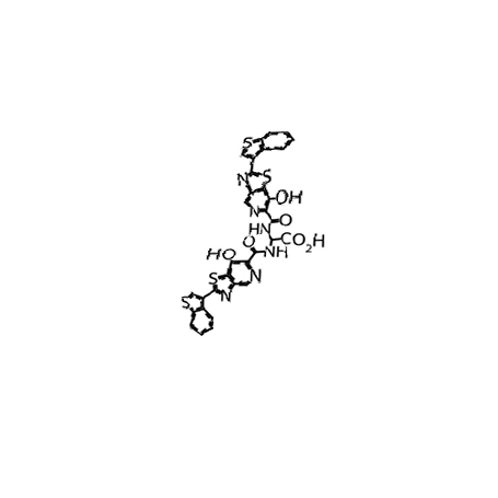 O=C(NC(NC(=O)c1ncc2nc(-c3csc4ccccc34)sc2c1O)C(=O)O)c1ncc2nc(-c3csc4ccccc34)sc2c1O